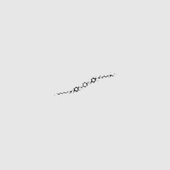 C=CC(=O)CCCCCOC(=O)Oc1ccc(OC(=O)[C@H]2CC[C@H](C(=O)Oc3ccc(OC(=O)OCCCCOC(=O)C=C)cc3)CC2)cc1